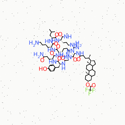 CNC(=O)[C@H](CCCNC(=N)N)NC(=O)[C@H](CC(C)C)NC(=O)[C@H](CCCCN)NC(=O)[C@H](CCCCN)NC(=O)[C@H](CCC(N)=O)NC(=O)[C@H](Cc1ccc(O)cc1)NC(=O)CNC(=O)CNC(=O)CC[C@@H](C)[C@H]1CCC2C3CCC4C[C@H](OC(=O)C(F)(F)F)CC[C@]4(C)C3CC[C@@]21C